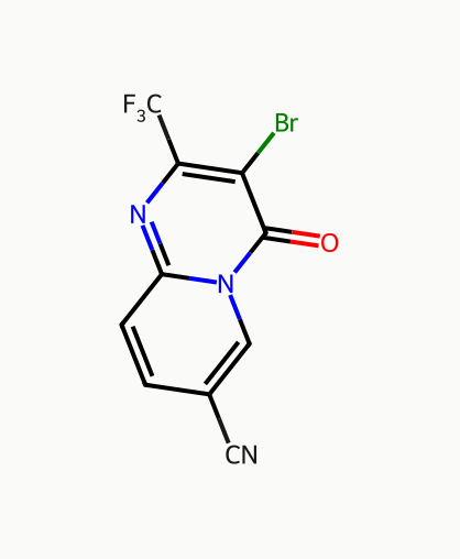 N#Cc1ccc2nc(C(F)(F)F)c(Br)c(=O)n2c1